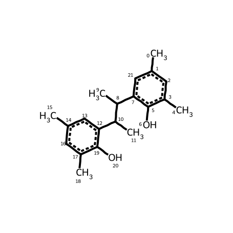 Cc1cc(C)c(O)c(C(C)C(C)c2cc(C)cc(C)c2O)c1